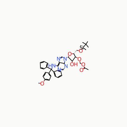 COc1ccc(C(Nc2ncnc3c2ncn3[C@@H]2O[C@H](CO[Si](C)(C)C(C)(C)C)C(OCOC(C)=O)C2O)(c2ccccc2)c2ccccc2)cc1